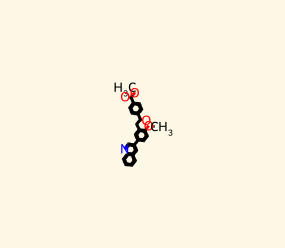 COC(=O)c1ccc(C(=O)Cc2cc(-c3cnc4ccccc4c3)ccc2OC)cc1